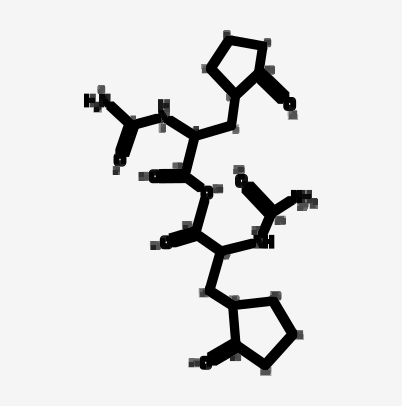 NC(=O)NC(CC1CCCC1=O)C(=O)OC(=O)C(CC1CCCC1=O)NC(N)=O